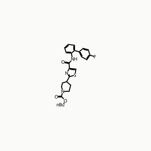 CCCCOC(=O)N1CCC(c2nc(C(=O)Nc3ccccc3-c3ccc(F)cc3)cs2)CC1